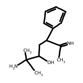 CC(=N)C(CC(O)C(C)(C)N)c1ccccc1